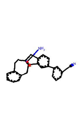 N#Cc1cccc(-c2ccc3c(c2)C24CSC(N)=NC2(CCc2ccccc2C4)C3)c1